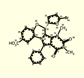 Cn1c(=O)c2c(-c3ccccc3)n3c(c2n(C)c1=O)[C@@H](c1ccc(Br)o1)Oc1ccc(C(=O)O)cc1-3